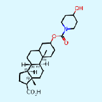 C[C@]12CCC(OC(=O)N3CCC(O)CC3)CC1CC[C@@H]1[C@@H]2CC[C@]2(C)C(C(=O)O)CC[C@@H]12